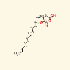 CCCCCCCCCCCCCC/C=C\C(CC(=O)O)C(=O)O